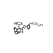 C[C@@H](NC1CCC(c2cccc(CCC(=O)O)c2)C1)c1cccc2ccccc12.Cl